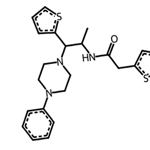 CC(NC(=O)Cc1cccs1)C(c1cccs1)N1CCN(c2ccccc2)CC1